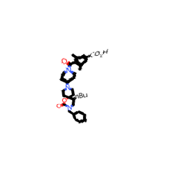 CCCCC1CN(CC2CCCCC2)C(=O)OC12CCN(C1CCN(C(=O)c3c(C)cc(C(=O)O)cc3C)CC1)CC2